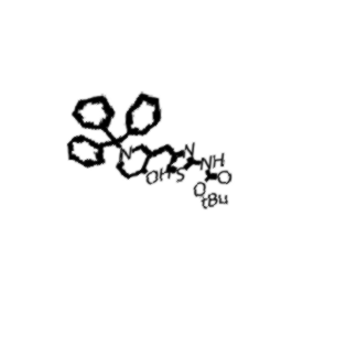 CC(C)(C)OC(=O)Nc1nc(C=C2CN(C(c3ccccc3)(c3ccccc3)c3ccccc3)CCC2O)cs1